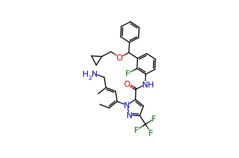 C/C=C(\C=C(/C)CN)n1nc(C(F)(F)F)cc1C(=O)Nc1cccc(C(OCC2CC2)c2ccccc2)c1F